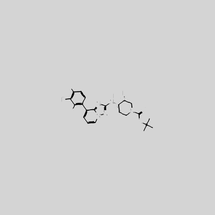 CC(C)(C)OC(=O)N1CC[C@@H](Nc2nc3c(-c4ccc(F)c(F)c4F)cccn3n2)[C@@H](F)C1